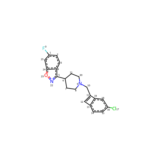 Fc1ccc2c(C3CCN(CC4=Cc5ccc(Cl)cc54)CC3)noc2c1